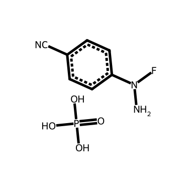 N#Cc1ccc(N(N)F)cc1.O=P(O)(O)O